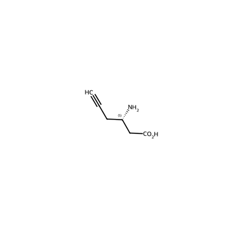 C#CC[C@H](N)CC(=O)O